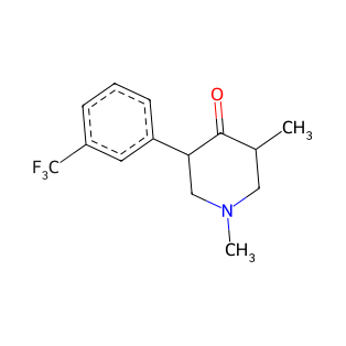 CC1CN(C)CC(c2cccc(C(F)(F)F)c2)C1=O